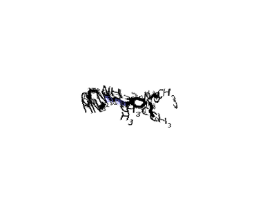 COCc1nc2c(n1CC(C)C)=CCC(/C(C)=C/C=C(\N)N1CCNC(=O)CC1)=CC=2